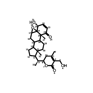 CC1=C(CO)C(=O)OC([C@@H](C)C2CCC3C4CC5OC56[C@@H](O)C=CC(=O)[C@]6(C)C4CC[C@@]32C)C1